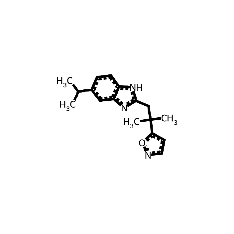 CC(C)c1ccc2[nH]c(CC(C)(C)c3ccno3)nc2c1